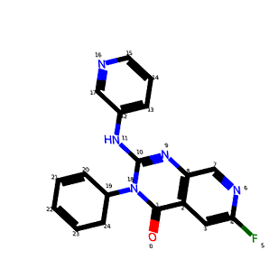 O=c1c2cc(F)ncc2nc(Nc2cccnc2)n1C1C=CC=CC1